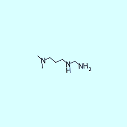 CN(C)CCCNCN